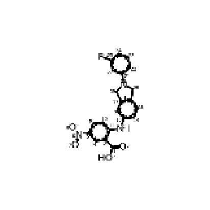 O=C(O)c1cc([N+](=O)[O-])ccc1Nc1ccc2c(c1)CN(c1cccc(F)c1)C2